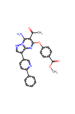 COC(=O)c1ccc(Oc2nc3c(-c4ccc(-c5ccccc5)nc4)cnn3c(N)c2C(C)=O)cc1